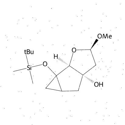 CO[C@H]1C[C@@]2(O)CC3CC3(O[Si](C)(C)C(C)(C)C)[C@H]2O1